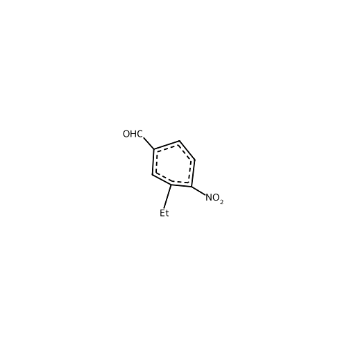 CCc1cc(C=O)ccc1[N+](=O)[O-]